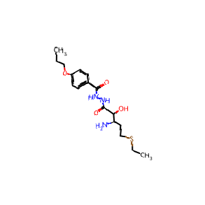 CCCOc1ccc(C(=O)NNC(=O)C(O)[C@H](N)CCSCC)cc1